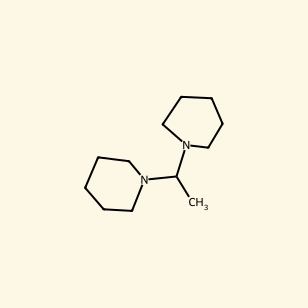 CC(N1CCCCC1)N1CCCCC1